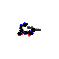 COc1cc(OC)cc(-n2ccc3c(=O)n(CC4(O)CCN(C(=O)[C@@H]5CCN(Cc6cnc(-c7ccc(C)nc7)s6)C[C@H]5c5ccccc5)CC4)cnc32)c1